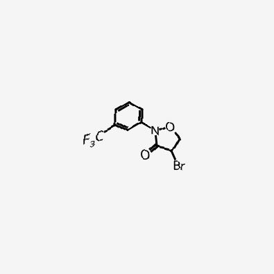 O=C1C(Br)CON1c1cccc(C(F)(F)F)c1